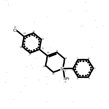 CCC[Si]1(c2ccccc2)CC=C(c2ccc(Cl)cc2)CC1